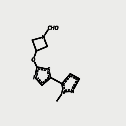 Cn1nccc1-c1cnc(OC2CN(C=O)C2)s1